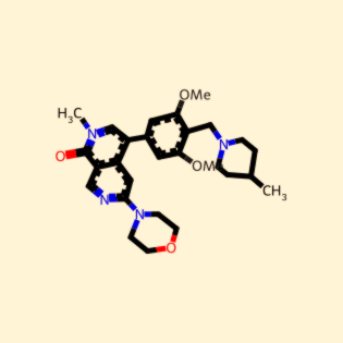 COc1cc(-c2cn(C)c(=O)c3cnc(N4CCOCC4)cc23)cc(OC)c1CN1CCC(C)CC1